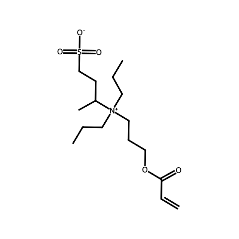 C=CC(=O)OCCC[N+](CCC)(CCC)C(C)CCS(=O)(=O)[O-]